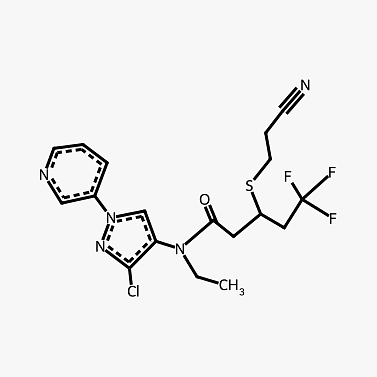 CCN(C(=O)CC(CC(F)(F)F)SCCC#N)c1cn(-c2cccnc2)nc1Cl